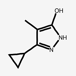 Cc1c(C2CC2)n[nH]c1O